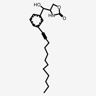 CCCCCCCCCCC#Cc1cccc(C(O)C2COC(=O)N2)c1